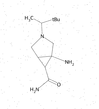 CC(N1CC2C(C(N)=O)C2(N)C1)C(C)(C)C